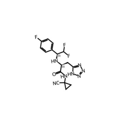 N#CC1(NC(=O)[C@H](Cc2nnn[nH]2)N[C@@H](c2ccc(F)cc2)C(F)F)CC1